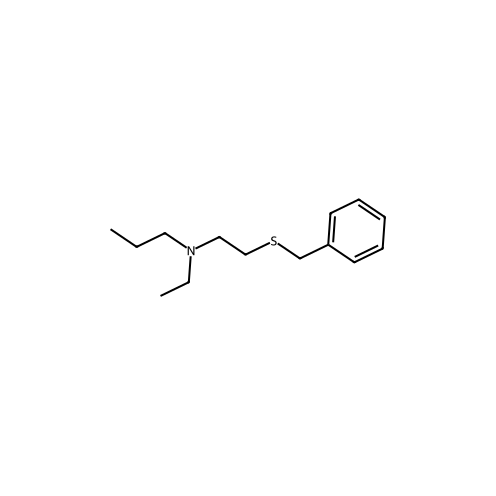 CCCN(CC)CCSCc1ccccc1